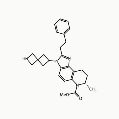 COC(=O)N1c2ccc3c(nc(CCc4ccccc4)n3C3CC4(CNC4)C3)c2CC[C@@H]1C